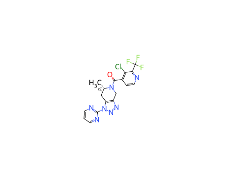 C[C@H]1Cc2c(nnn2-c2ncccn2)CN1C(=O)c1ccnc(C(F)(F)F)c1Cl